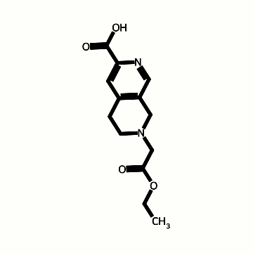 CCOC(=O)CN1CCc2cc(C(=O)O)ncc2C1